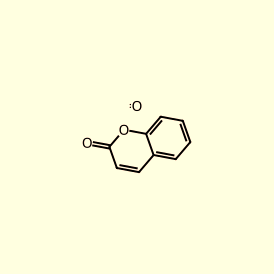 O=c1ccc2ccccc2o1.[O]